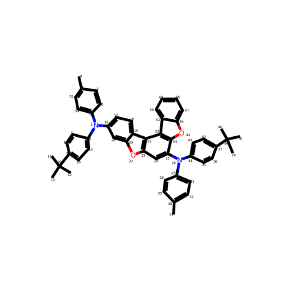 Cc1ccc(N(c2ccc(C(C)(C)C)cc2)c2ccc3c(c2)oc2cc(N(c4ccc(C)cc4)c4ccc(C(C)(C)C)cc4)c4oc5ccccc5c4c23)cc1